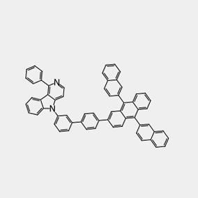 c1ccc(-c2nccc3c2c2ccccc2n3-c2cccc(-c3ccc(-c4ccc5c(-c6ccc7ccccc7c6)c6ccccc6c(-c6ccc7ccccc7c6)c5c4)cc3)c2)cc1